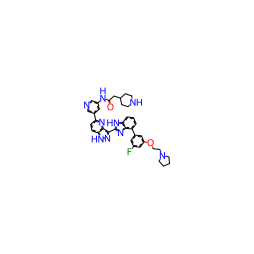 O=C(CC1CCNCC1)Nc1cncc(-c2ccc3[nH]nc(-c4nc5c(-c6cc(F)cc(OCCN7CCCC7)c6)cccc5[nH]4)c3n2)c1